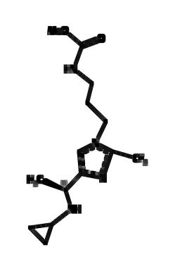 COC(=O)NCCCn1cc([C@H](C)NC2CC2)nc1C(F)(F)F